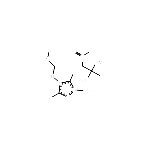 CCCCNCNn1c(CCC)n[n+](CCCC)c1CCC.COC(C)(C[PH](=O)[O-])OC